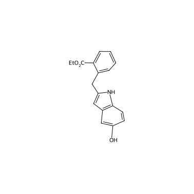 CCOC(=O)c1ccccc1Cc1cc2cc(O)ccc2[nH]1